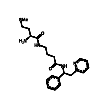 CSCC[C@H](N)C(=O)NCCCC(=O)NC(Cc1ccccn1)c1ccccc1